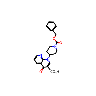 O=C(O)c1cn(C2CCN(C(=O)OCc3ccccc3)CC2)c2ncccc2c1=O